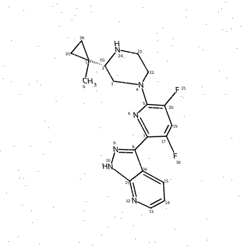 CC1([C@H]2CN(c3nc(-c4n[nH]c5ncccc45)c(F)cc3F)CCN2)CC1